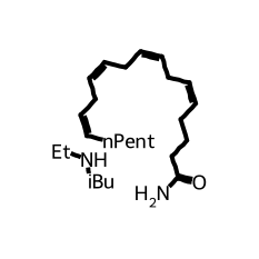 CCCCC/C=C\C/C=C\C/C=C\C/C=C\CCCC(N)=O.CCNC(C)CC